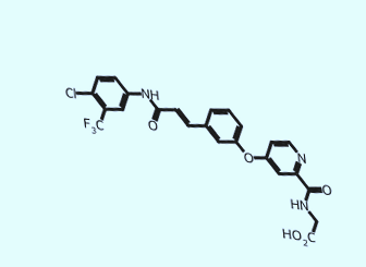 O=C(O)CNC(=O)c1cc(Oc2cccc(/C=C/C(=O)Nc3ccc(Cl)c(C(F)(F)F)c3)c2)ccn1